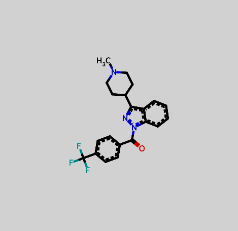 CN1CCC(c2nn(C(=O)c3ccc(C(F)(F)F)cc3)c3ccccc23)CC1